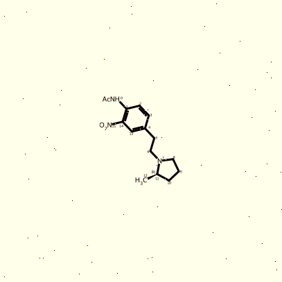 CC(=O)Nc1ccc(CCN2CCC[C@H]2C)cc1[N+](=O)[O-]